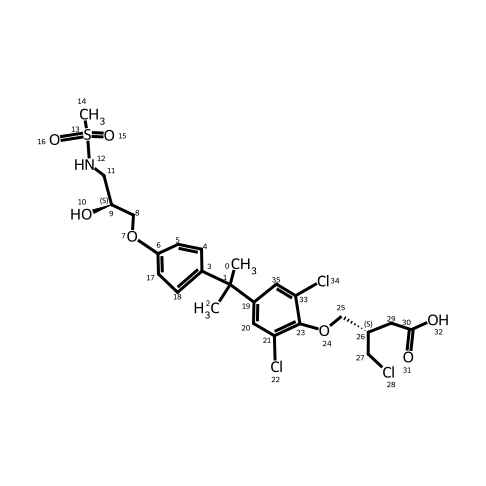 CC(C)(c1ccc(OC[C@@H](O)CNS(C)(=O)=O)cc1)c1cc(Cl)c(OC[C@@H](CCl)CC(=O)O)c(Cl)c1